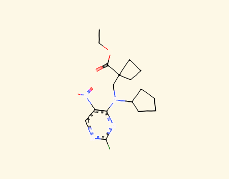 CCOC(=O)C1(CN(c2nc(Cl)ncc2[N+](=O)[O-])C2CCCC2)CCC1